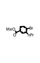 CCCc1cc(C(=O)OC)ccc1Br